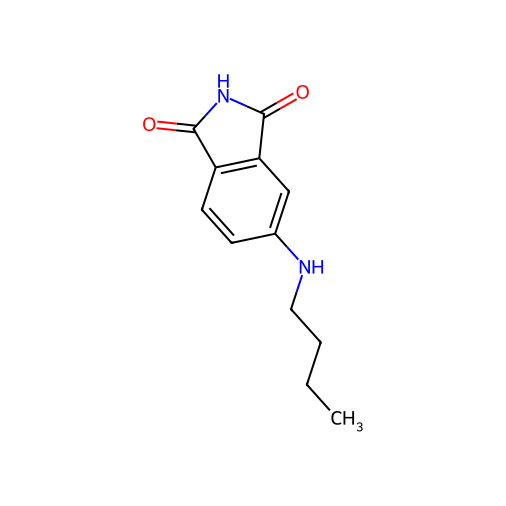 CCCCNc1ccc2c(c1)C(=O)NC2=O